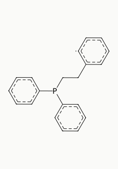 [c]1ccccc1CCP(c1ccccc1)c1ccccc1